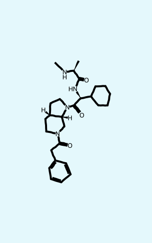 CN[C@@H](C)C(=O)N[C@H](C(=O)N1CC[C@H]2CCN(C(=O)Cc3ccccc3)C[C@H]21)C1CCCCC1